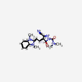 CN(C)C(=O)N1N=C(C#N)/C(=C\C=C2N(C)c3ccccc3N2C)C1=O